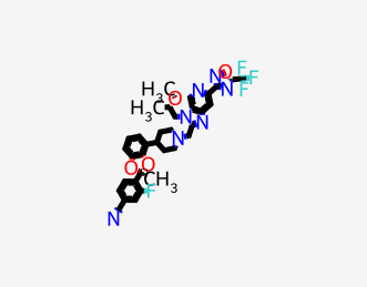 COC(C)Cn1c(CN2CCC(c3cccc4c3O[C@@](C)(c3ccc(C#N)cc3F)O4)CC2)nc2cc(-c3noc(C(F)(F)F)n3)ncc21